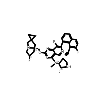 C#Cc1c(F)ccc2cccc(-c3ncc4c(N(C)[C@@H]5CCN[C@@H]5C)nc(OC[C@]56C[C@@H](F)CN5CC5(CC5)C6)nc4c3F)c12